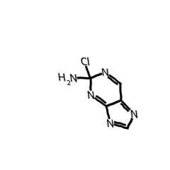 NC1(Cl)N=CC2=NC=NC2=N1